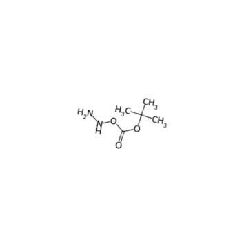 CC(C)(C)OC(=O)ONN